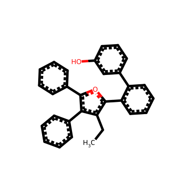 CCc1c(-c2ccccc2-c2cccc(O)c2)oc(-c2ccccc2)c1-c1ccccc1